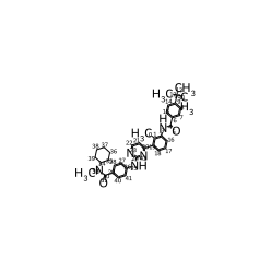 Cc1c(NC(=O)c2ccc(C(C)(C)C)cc2)cccc1-c1ccnc(Nc2ccc(C(=O)N(C)C3CCCCC3)cc2)n1